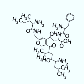 CC[C@H](C)[C@H](N)C(=O)NCC1=CC(C(=O)C[C@H](NC(=O)C(N)Cc2ccccc2)C(=O)O)=C(C(=O)C(C[C@H](O)[C@@H](N)CC(C)C)C(C)C)CO1